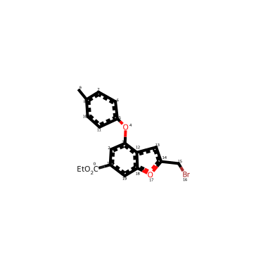 CCOC(=O)c1cc(Oc2ccc(C)cc2)c2cc(CBr)oc2c1